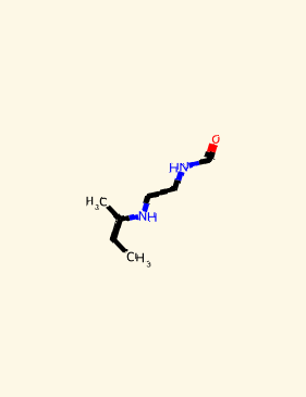 CCC(C)NCCN[C]=O